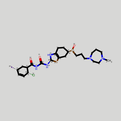 CN1CCCN(CCC[S+]([O-])[C@@H]2CCC3=C(C2)S[C@@H](NC(=O)NC(=O)C2C[C@@H](I)C=C[C@H]2Cl)N3)CC1